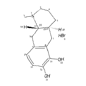 Br.CN1CCC[C@H]2Cc3c(ccc(O)c3O)C[C@@H]21